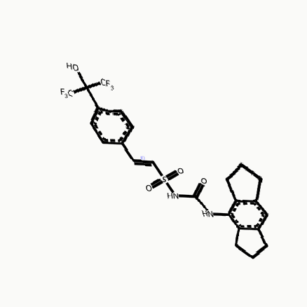 O=C(Nc1c2c(cc3c1CCC3)CCC2)NS(=O)(=O)/C=C/c1ccc(C(O)(C(F)(F)F)C(F)(F)F)cc1